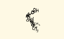 Cc1ccc(-n2cc(C(=O)NCc3nnc(-c4ccc(O)cc4)s3)nn2)c(C)n1